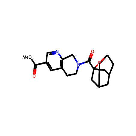 COC(=O)c1cnc2c(c1)CCN(C(=O)C13CC4CC(CC(C4)O1)C3)C2